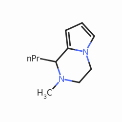 CCCC1c2cccn2CCN1C